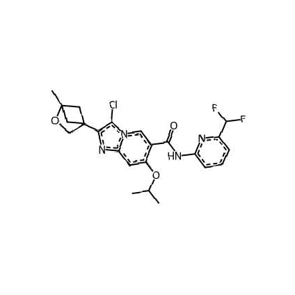 CC(C)Oc1cc2nc(C34COC(C)(C3)C4)c(Cl)n2cc1C(=O)Nc1cccc(C(F)F)n1